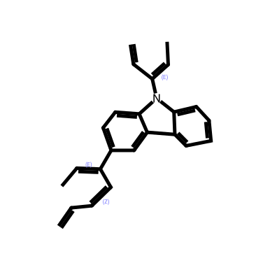 C=C/C=C\C(=C/C)c1ccc2c(c1)c1ccccc1n2/C(C=C)=C/C